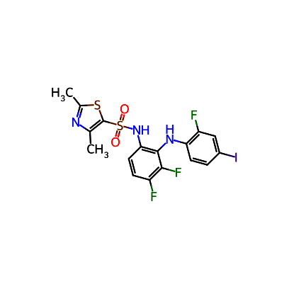 Cc1nc(C)c(S(=O)(=O)Nc2ccc(F)c(F)c2Nc2ccc(I)cc2F)s1